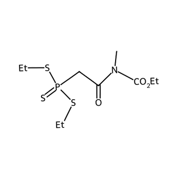 CCOC(=O)N(C)C(=O)CP(=S)(SCC)SCC